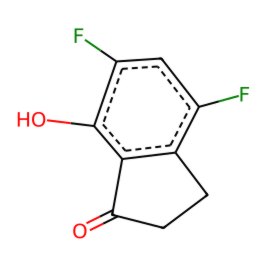 O=C1CCc2c(F)cc(F)c(O)c21